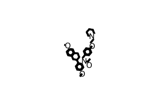 COc1ccc2c(c1)CCC(c1ccc(OC)cc1N(Cc1ccc(OCCN3CCCCC3)cc1)C(C)=O)C2